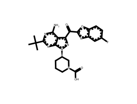 CC(C)(C)c1nc(N)c2c(C(=O)c3nc4cc(F)ccc4o3)nn([C@@H]3CCCN(C(=O)O)C3)c2n1